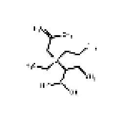 C=C(C)C[Si](CC)(CCC)C(CC)N(C)C